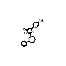 CN1C=NC(c2cc(=O)[nH]c(N3CCOCC(c4ccccc4)C3)n2)=CC1